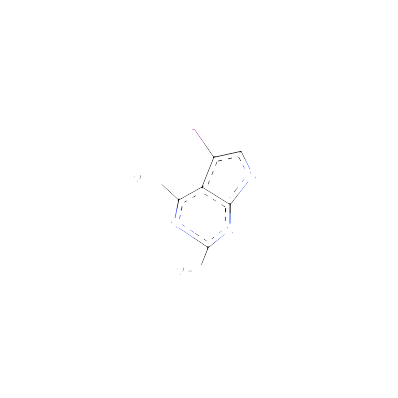 COc1nc(OC)c2c(I)c[nH]c2n1